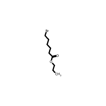 CCCOC(=O)CCCCCBr